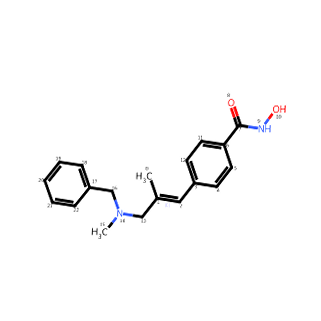 C/C(=C\c1ccc(C(=O)NO)cc1)CN(C)Cc1ccccc1